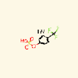 O=S(=O)(O)Oc1ccc(C(F)(F)F)cc1.[LiH]